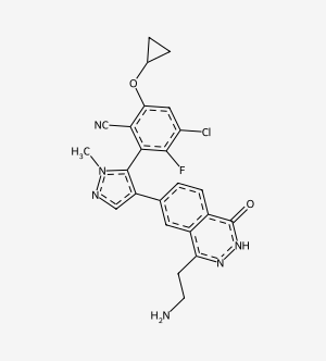 Cn1ncc(-c2ccc3c(=O)[nH]nc(CCN)c3c2)c1-c1c(F)c(Cl)cc(OC2CC2)c1C#N